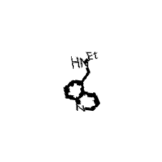 CCNCc1cccc2ncccc12